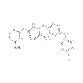 CC1CCCN(CC(=O)NC(Cc2ccc(Oc3ccc(F)cc3)cc2)C(N)=O)C1